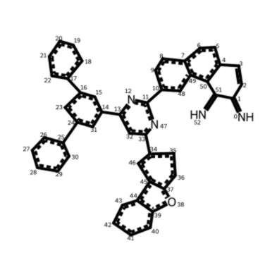 N=C1C=Cc2ccc3ccc(-c4nc(-c5cc(-c6ccccc6)cc(-c6ccccc6)c5)cc(-c5ccc6oc7ccccc7c6c5)n4)cc3c2C1=N